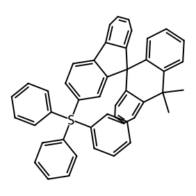 CC1(C)c2ccccc2C2(c3ccccc3-c3ccc(S(c4ccccc4)(c4ccccc4)c4ccccc4)cc32)c2ccccc21